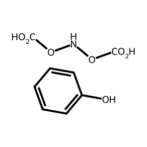 O=C(O)ONOC(=O)O.Oc1ccccc1